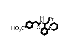 CC(C)CC(NC(=O)Cc1ccc(C(=O)O)cc1)c1ccccc1N1CCCCC1